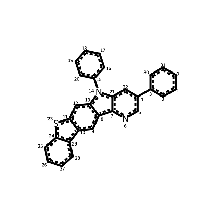 c1ccc(-c2cnc3c4cc5c(cc4n(-c4ccccc4)c3c2)sc2ccccc25)cc1